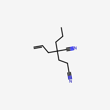 C=CCC(C#N)(CCC)CCC#N